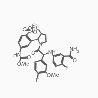 CCS(=O)(=O)c1ccc(NC(=O)OC)cc1[C@H]1[C@@H](C=O)CCN1C(=O)[C@@H](Nc1ccc(F)c(C(N)=O)c1)c1ccc(F)c(OC)c1